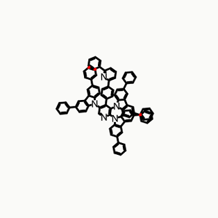 c1ccc(-c2ccc3c(c2)c2cc(-c4ccccc4)ccc2n3-c2cnc(-n3c4ccc(-c5ccccc5)cc4c4cc(-c5ccccc5)ccc43)c(-n3c4ccc(-c5ccccc5)cc4c4cc(-c5ccccc5)ccc43)c2-c2ccc(-c3cccc(-c4ccccc4)n3)cc2)cc1